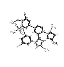 Cc1cn(-c2ccc(-c3cc(F)c(CO)c(S(C)(=O)=O)c3)cc2-c2nc(C)oc2-c2cc(F)cc(F)c2)c(C)n1